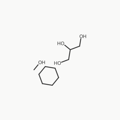 C1CCCCC1.CO.OCC(O)CO